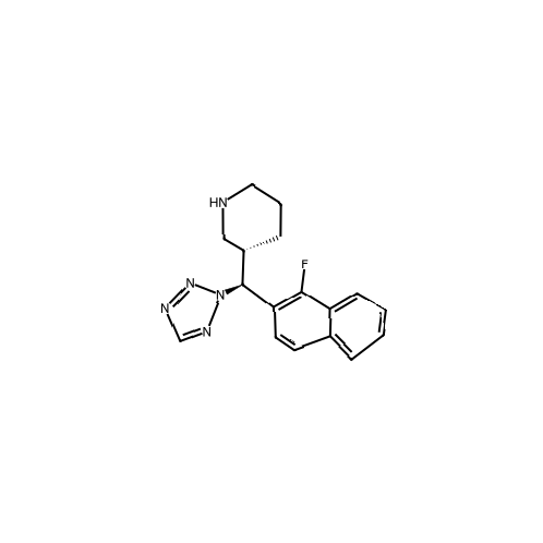 Fc1c([C@H]([C@H]2CCCNC2)n2ncnn2)ccc2ccccc12